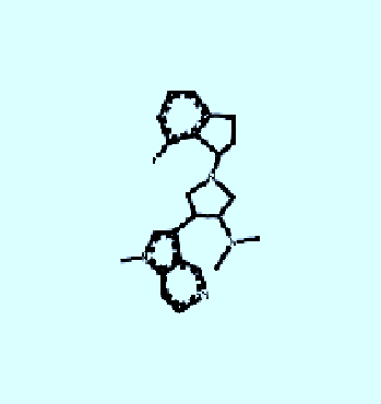 CN(C)C1CN(C2CCc3cccc(F)c32)CC1c1cn(C)c2ccncc12